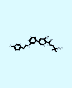 CC(C)(CNC(=O)c1ncc(-c2cccc(OCCc3ccc(Cl)cc3)c2)cc1O)C(=O)O